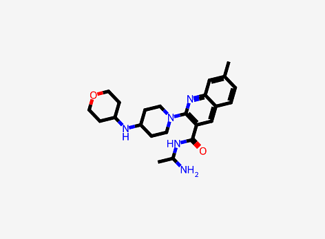 Cc1ccc2cc(C(=O)NC(C)N)c(N3CCC(NC4CCOCC4)CC3)nc2c1